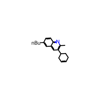 CCCCc1ccc2nc(C)c(C3CC=CCC3)cc2c1